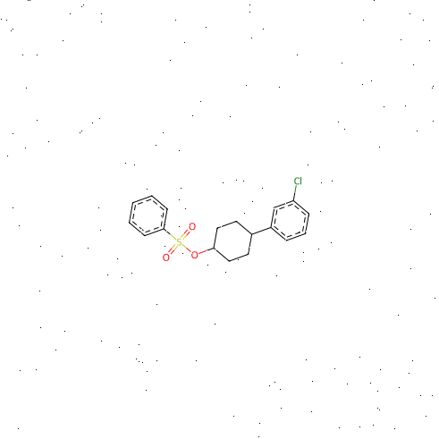 O=S(=O)(OC1CCC(c2cccc(Cl)c2)CC1)c1ccccc1